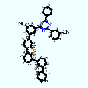 N#Cc1cccc(-c2nc(-c3ccccc3)nc(-c3cc(C#N)cc(-c4ccc5c(c4)sc4c(-c6cccc7c6sc6ccccc67)cccc45)c3)n2)c1